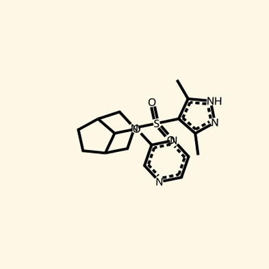 Cc1n[nH]c(C)c1S(=O)(=O)N1CC2CCC(C1)C2Oc1cnccn1